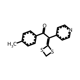 Cc1ccc(C(=O)C(=C2SCS2)c2ccncc2)cc1